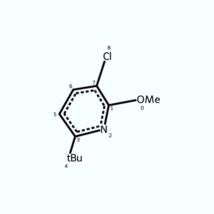 COc1nc(C(C)(C)C)ccc1Cl